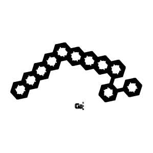 [Ga].c1ccc(-c2ccccc2-c2cccc3cc4cc5cc6ccc7cc8cc9cc%10ccccc%10cc9cc8cc7c6cc5cc4cc23)cc1